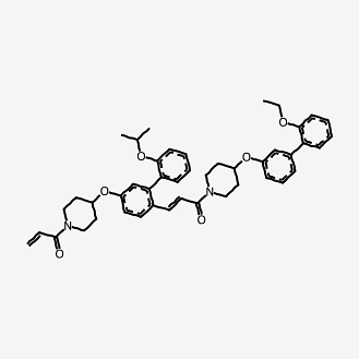 C=CC(=O)N1CCC(Oc2ccc(/C=C/C(=O)N3CCC(Oc4cccc(-c5ccccc5OCC)c4)CC3)c(-c3ccccc3OC(C)C)c2)CC1